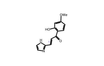 COc1ccc(C(=O)/C=C/c2ncc[nH]2)c(O)c1